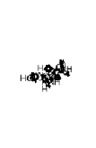 CC(C)C[C@@H](/C=C/[C@H](Cc1ccccc1)C(=O)N1CCC[C@@H]1C(=O)N[C@H](C(=O)N[C@@H](C)C(=O)NC1CC(C)(C)N(O)C(C)(C)C1)C(C)C)NC(=O)OC(C)(C)C